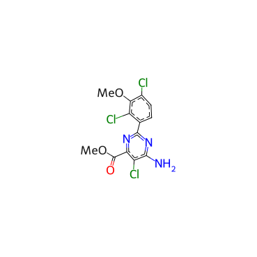 COC(=O)c1nc(-c2ccc(Cl)c(OC)c2Cl)nc(N)c1Cl